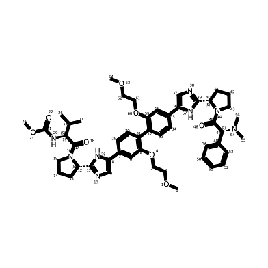 COCCOc1cc(-c2cnc([C@@H]3CCCN3C(=O)[C@@H](NC(=O)OC)C(C)C)[nH]2)ccc1-c1ccc(-c2cnc([C@@H]3CCCN3C(=O)[C@@H](c3ccccc3)N(C)C)[nH]2)cc1OCCOC